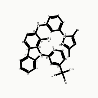 Cc1cc(C)n(-c2cccc(Oc3ccc4c5ccccc5n(-c5cc(C(F)(F)F)ccn5)c4[c]3[Pt])c2)n1